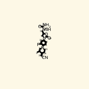 CC1CN(c2ccc(N3CC(CN(S)C(N)=O)OC3=O)cc2F)CCC1=CC#N